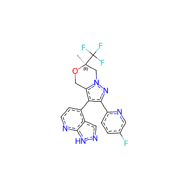 C[C@]1(C(F)(F)F)Cn2nc(-c3ccc(F)cn3)c(-c3ccnc4[nH]ncc34)c2CO1